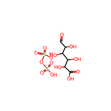 O=CC(O)C(O)C(O)C(O)C(=O)O.O=S(=O)(O)OS(=O)(=O)O